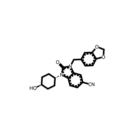 N#Cc1ccc2c(c1)n(Cc1ccc3c(c1)OCO3)c(=O)n2[C@H]1CC[C@H](O)CC1